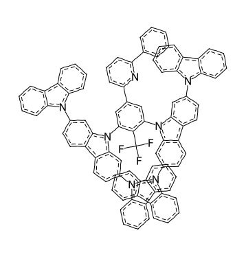 FC(F)(F)c1c(-n2c3cc(-n4c5ccccc5c5ccccc54)ccc3c3ccc(-n4c5ccccc5c5ccccc54)cc32)cc(-c2cccc(-c3ccccc3)n2)cc1-n1c2cc(-n3c4ccccc4c4ccccc43)ccc2c2ccc(-n3c4ccccc4c4ccccc43)cc21